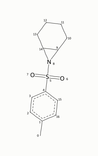 Cc1ccc(S(=O)(=O)N2C3CCCCC32)cc1